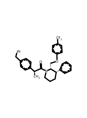 CC(C)Cc1ccc([C@H](C)C(=O)N2CCC[C@@H](c3ccccc3)[C@H]2COc2ccc(C(F)(F)F)cc2)cc1